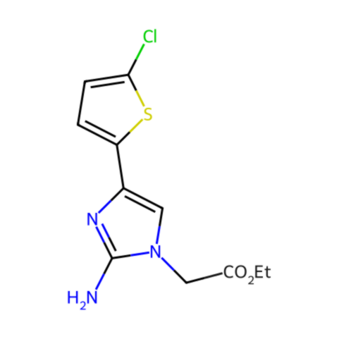 CCOC(=O)Cn1cc(-c2ccc(Cl)s2)nc1N